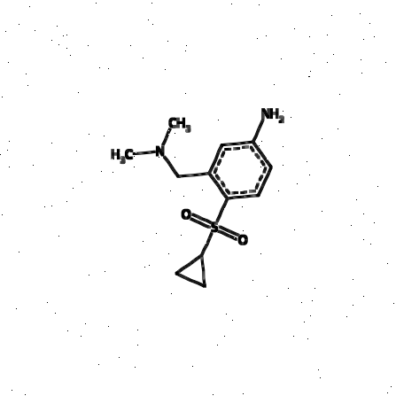 CN(C)Cc1cc(N)ccc1S(=O)(=O)C1CC1